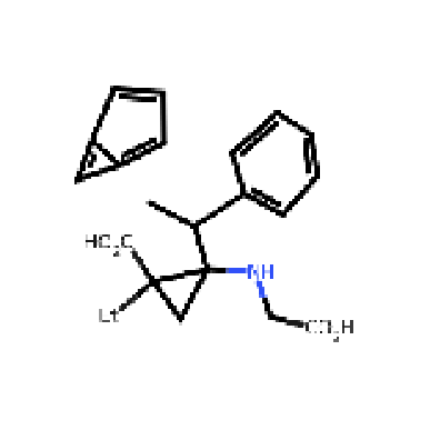 CCC1(C(=O)O)CC1(NCC(=O)O)C(C)c1ccccc1.c1cc2cc-2c1